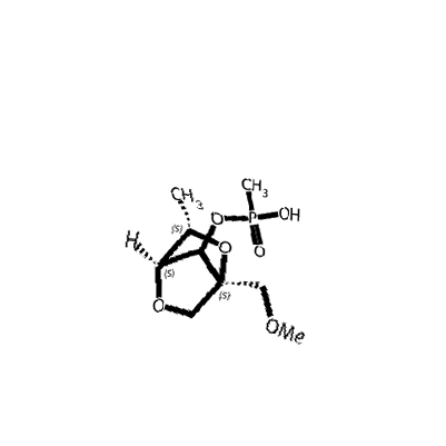 COC[C@]12CO[C@H](C1OP(C)(=O)O)[C@H](C)O2